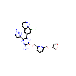 Cn1ccc(-c2nc(N)c(OCc3cccc(COC4CCOC4)n3)nc2-c2cc(Cl)c3ncccc3c2)n1